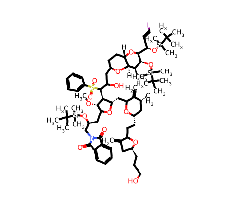 C=C1C[C@H](CCCO)OC1CC[C@H]1C[C@@H](C)C(=C)C(C[C@@H]2OC(C[C@@H](CN3C(=O)c4ccccc4C3=O)O[Si](C)(C)C(C)(C)C)[C@H](OC)[C@H]2C(C(O)CC2CC[C@@H]3OC([C@H](/C=C/I)O[Si](C)(C)C(C)(C)C)[C@@H](O[Si](C)(C)C(C)(C)C)[C@@H](C)[C@H]3O2)S(=O)(=O)c2ccccc2)O1